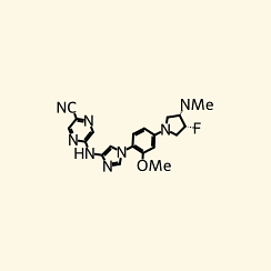 CN[C@H]1CN(c2ccc(-n3cnc(Nc4cnc(C#N)cn4)c3)c(OC)c2)C[C@H]1F